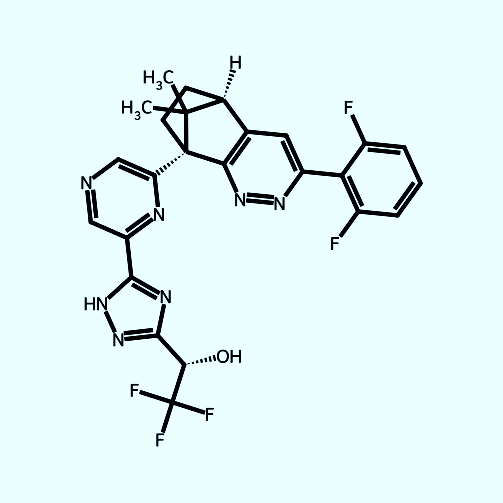 CC1(C)[C@H]2CC[C@]1(c1cncc(-c3nc([C@H](O)C(F)(F)F)n[nH]3)n1)c1nnc(-c3c(F)cccc3F)cc12